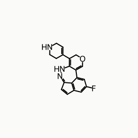 Fc1cc2c3c(c1)C1=COCC(C4=CCNCC4)=C1NN=C3C=C2